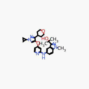 Cn1nc(C(C)(C)O)c2cc(Nc3cc(Oc4cn(C5CC5)nc4C4CCOCC4)ccn3)ccc21